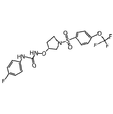 O=C(NOC1CCN(S(=O)(=O)c2ccc(OC(F)(F)F)cc2)C1)Nc1ccc(F)cc1